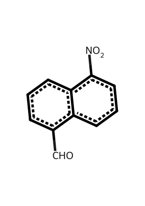 O=Cc1cccc2c([N+](=O)[O-])cccc12